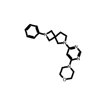 c1ccc(N2CC3(CCN(c4cc(N5CCOCC5)ncn4)C3)C2)cc1